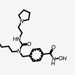 CCCCN(Cc1ccc(C(=O)NO)cc1)C(=O)NCCN1CCCC1